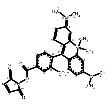 CN(C)c1ccc2c(c1)[Si](C)(C)C1=CC(=[N+](C)C)C=CC1=C2c1ccc(C(=O)ON2C(=O)C=CC2=O)cc1C(=O)O